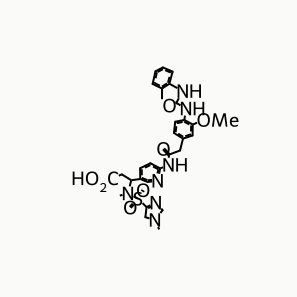 COc1cc(CC(=O)Nc2ccc(C(CC(=O)O)N(C)S(=O)(=O)C3=NCN(C)C3)cn2)ccc1NC(=O)Nc1ccccc1C